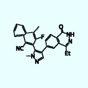 CCc1n[nH]c(=O)c2ccc(-c3cnn(C)c3-c3c(F)c(C)c4ccccc4c3C#N)cc12